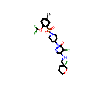 N#Cc1ccc(OC(F)F)c(S(=O)(=O)N2CCC(n3ncc(NC[C@@]4(F)CCCOC4)c(Cl)c3=O)CC2)c1